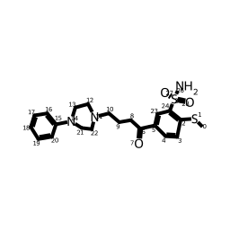 CSc1ccc(C(=O)CCCN2CCN(c3ccccc3)CC2)cc1S(N)(=O)=O